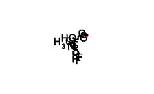 Cc1nc(-c2ccc(C(F)(F)F)cc2)sc1C(O)CCC1OCCCO1